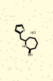 Cl.N=C1CCCCC(Cc2cccs2)N1